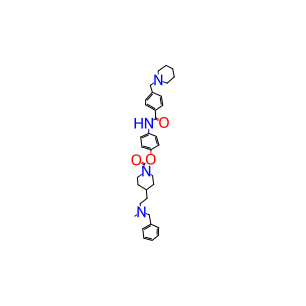 CN(CCC1CCN(C(=O)Oc2ccc(NC(=O)c3ccc(CN4CCCCC4)cc3)cc2)CC1)Cc1ccccc1